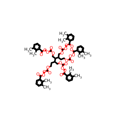 Cc1cccc(C(=O)OOC(=O)OCCC(COC(=O)OOC(=O)c2cccc(C)c2C)C(COC(=O)OOC(=O)c2cccc(C)c2C)C(CCOC(=O)OOC(=O)c2cccc(C)c2C)COC(=O)OOC(=O)c2cccc(C)c2C)c1C